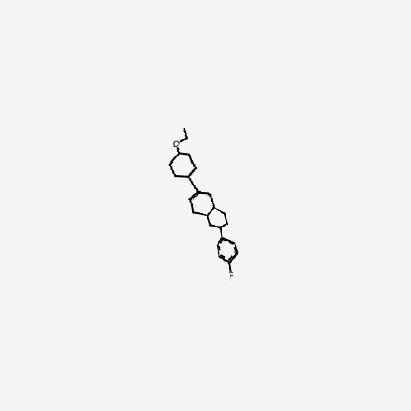 CCOC1CCC(C2CCC3CC(c4ccc(F)cc4)CCC3C2)CC1